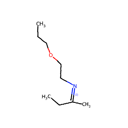 CCCOCC/N=C(/C)CC